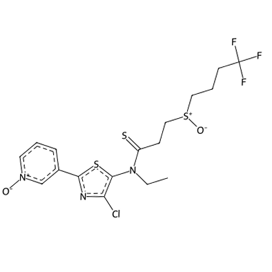 CCN(C(=S)CC[S+]([O-])CCCC(F)(F)F)c1sc(-c2ccc[n+]([O-])c2)nc1Cl